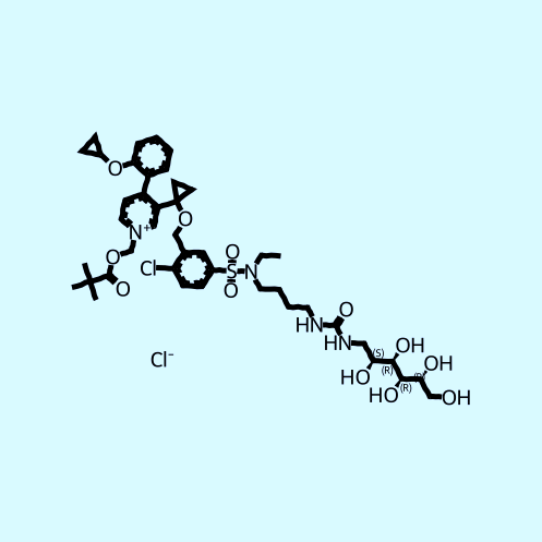 CCN(CCCCNC(=O)NC[C@H](O)[C@@H](O)[C@H](O)[C@H](O)CO)S(=O)(=O)c1ccc(Cl)c(COC2(c3c[n+](COC(=O)C(C)(C)C)ccc3-c3ccccc3OC3CC3)CC2)c1.[Cl-]